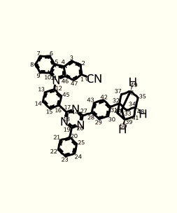 N#Cc1ccc2c3ccccc3n(-c3cccc(-c4nc(-c5ccccc5)nc(-c5ccc(C67C[C@H]8C[C@H](C6)C[C@@H](C7)C8)cc5)n4)c3)c2c1